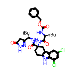 CCC(C)[C@H](NC(=O)OCc1ccccc1)C(=O)N[C@]1(C(=O)N[C@H](C2=NNC(=O)C2)C(C)CC)CCc2[nH]c3c(Cl)cc(Cl)cc3c2C1